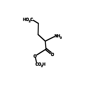 NC(CCC(=O)O)C(=O)OC(=O)O